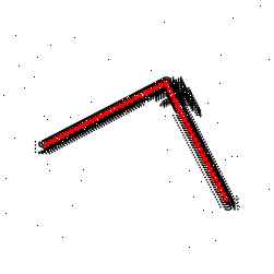 C.C.C.C.C.C.C.C.C.C.C.C.C.C.C.C.C.C.C.C.[C].[Si].[Si].[Si].[Si].[Si].[Si].[Si].[Si].[Si].[Si].[Si].[Si].[Si].[Si].[Si].[Si].[Si].[Si].[Si].[Si].[Si].[Si].[Si].[Si].[Si].[Si].[Si].[Si].[Si].[Si].[Si].[Si].[Si].[Si].[Si].[Si].[Si].[Si].[Si].[Si].[Si].[Si].[Si].[Si].[Si].[Si].[Si].[Si].[Si].[Si].[Si].[Si].[Si].[Si].[Si].[Si].[Si].[Si].[Si].[Si].[Si].[Si].[Si].[Si].[Si].[Si].[Si].[Si].[Si].[Si].[Si].[Si].[Si].[Si].[Si].[Si].[Si].[Si].[Si]